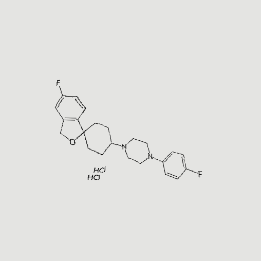 Cl.Cl.Fc1ccc(N2CCN(C3CCC4(CC3)OCc3cc(F)ccc34)CC2)cc1